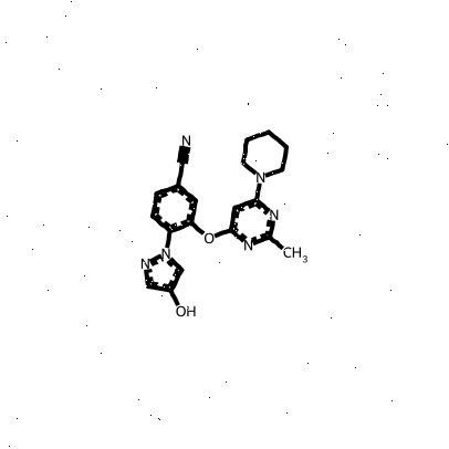 Cc1nc(Oc2cc(C#N)ccc2-n2cc(O)cn2)cc(N2CCCCC2)n1